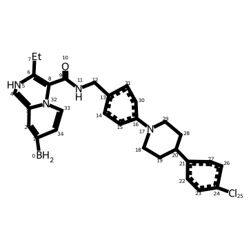 BC1=CC2=CNC(CC)=C(C(=O)NCc3ccc(N4CCC(c5ccc(Cl)cc5)CC4)cc3)N2C=C1